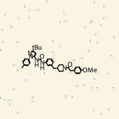 COc1ccc(CC(=O)N2CCC(Cc3cccc(NC(=O)Nc4cc(C(C)(C)C)nn4-c4ccc(C)cc4)c3)CC2)cc1